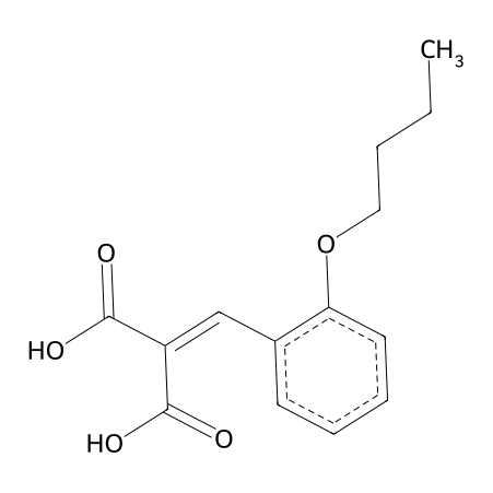 CCCCOc1ccccc1C=C(C(=O)O)C(=O)O